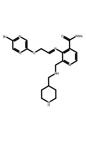 CNC(=O)c1ccnc(CNCC2CCNCC2)c1/N=C/COc1cnc(Br)cn1